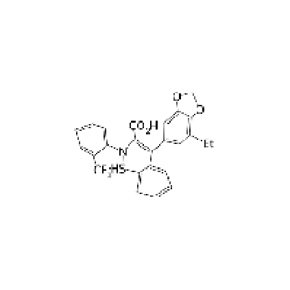 CCc1cc(C2=C(C(=O)O)N(c3ccccc3C(F)(F)F)[SH]c3ccccc32)cc2c1OCO2